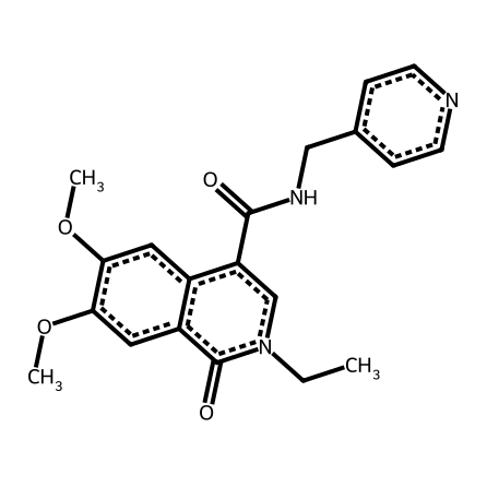 CCn1cc(C(=O)NCc2ccncc2)c2cc(OC)c(OC)cc2c1=O